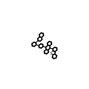 c1ccc(-c2ccc3ccccc3c2)c(-c2ccc(-c3c4ccccc4c(-c4cccc5c4sc4ccccc45)c4ccccc34)cc2)c1